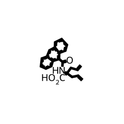 C=CCC(CC=C)(NC(=O)c1c2ccccc2cc2ccccc12)C(=O)O